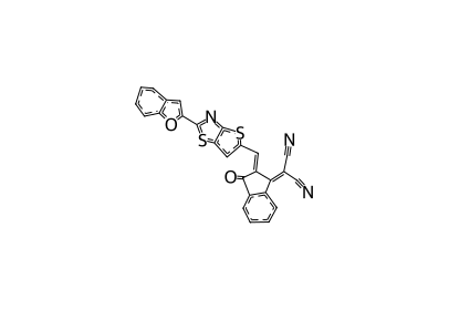 N#CC(C#N)=C1/C(=C/c2cc3sc(-c4cc5ccccc5o4)nc3s2)C(=O)c2ccccc21